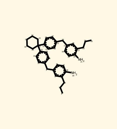 CCCc1cc(Cc2ccc(C3(c4ccc(Cc5ccc(N)c(CCC)c5)cc4)CCCCC3)cc2)ccc1N